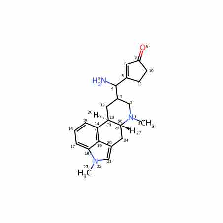 CN1CC(C(N)C2=CC(=O)CC2)C[C@@H]2c3cccc4c3c(cn4C)C[C@H]21